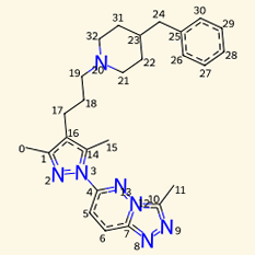 Cc1nn(-c2ccc3nnc(C)n3n2)c(C)c1CCCN1CCC(Cc2ccccc2)CC1